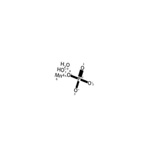 O.O=P([O-])([O-])[O-].[Mn+4].[OH-]